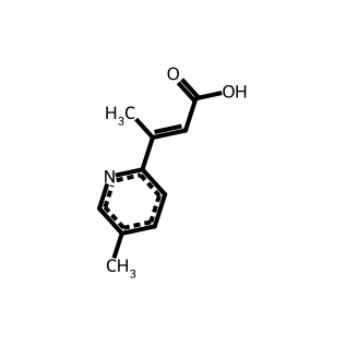 C/C(=C\C(=O)O)c1ccc(C)cn1